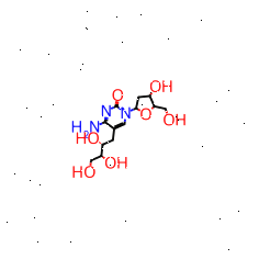 Nc1nc(=O)n(C2CC(O)C(CO)O2)cc1C[C@@H](O)[C@@H](O)CO